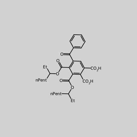 CCCCCC(CC)OC(=O)c1c(C(=O)c2ccccc2)cc(C(=O)O)c(C(=O)O)c1C(=O)OC(CC)CCCCC